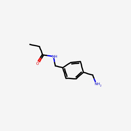 CCC(=O)NCc1ccc(CN)cc1